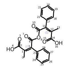 C/C(C(=O)O)=C(/C(=O)OC(=O)/C(=C(/C)C(=O)O)c1ccccc1)c1ccccc1